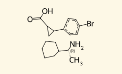 C[C@@H](N)C1CCCCC1.O=C(O)C1CC1c1ccc(Br)cc1